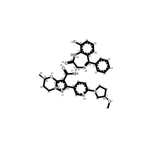 CO[C@@H]1CCN(c2ccc(-c3nn4c(c3C(=O)N[C@H]3N=C(c5ccccc5)c5cccc(F)c5NC3=O)O[C@H](C)CC4)cn2)C1